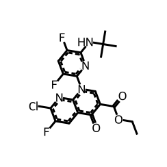 CCOC(=O)c1cn(-c2nc(NC(C)(C)C)c(F)cc2F)c2nc(Cl)c(F)cc2c1=O